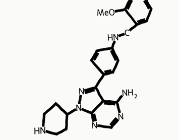 COc1ccccc1CNc1ccc(-c2nn(C3CCNCC3)c3ncnc(N)c23)cc1